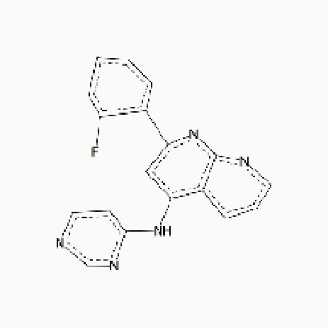 Fc1ccccc1-c1cc(Nc2ccncn2)c2cccnc2n1